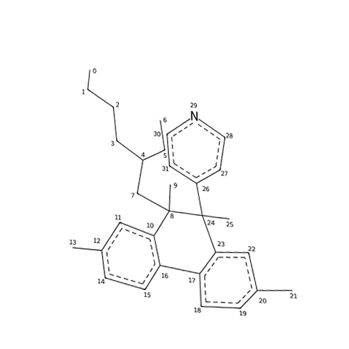 CCCCC(CC)CC1(C)c2cc(C)ccc2-c2ccc(C)cc2C1(C)c1ccncc1